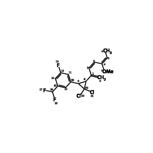 C=C(/C=C\C(=C/C)OC)C1C(c2cc(F)cc(C(F)F)c2)C1(Cl)Cl